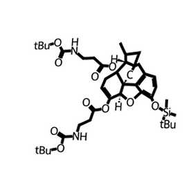 CC1CC23Cc4ccc(O[Si](C)(C)C(C)(C)C)c5c4[C@@]4(C2)[C@@H](O5)C(OC(=O)CCNC(=O)OC(C)(C)C)=CC[C@@]4(OC(=O)CCNC(=O)OC(C)(C)C)[C@H]13